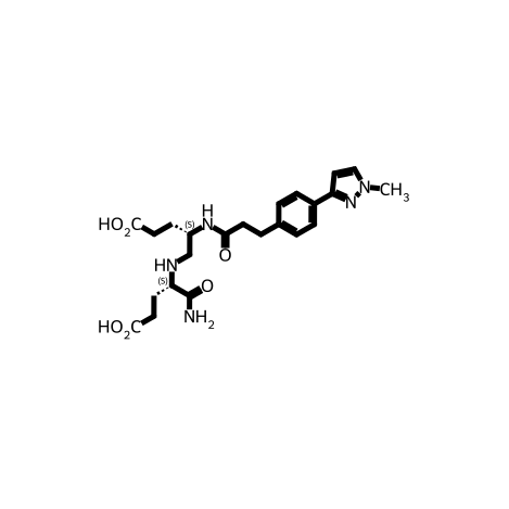 Cn1ccc(-c2ccc(CCC(=O)N[C@@H](CCC(=O)O)CN[C@@H](CCC(=O)O)C(N)=O)cc2)n1